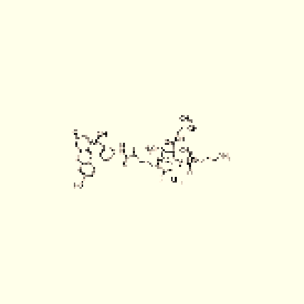 CCCC(C)(CC(C)(CC(C)(CC)C(=O)NCCCNC(=S)Nc1ccc(-c2c3ccc(=O)cc-3oc3cc(O)ccc23)c(C(=O)O)c1)C(=O)NCCCN)C(=O)NCC(C)O